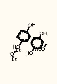 CCOCC.COC.Oc1ccc(O)cc1.Oc1ccc(O)cc1